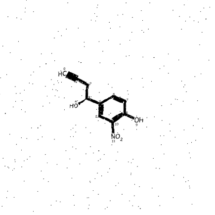 C#CC[C@H](O)c1ccc(O)c([N+](=O)[O-])c1